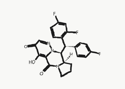 O=C1c2c(O)c(=O)cnn2[C@@H]([C@@H](c2ccc(F)cc2)c2ccc(F)cc2F)[C@H]2CCCN12